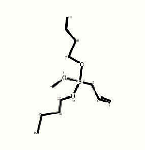 C=CC[Si](OC)(OCCCC)OCCCC